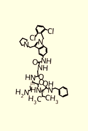 CC(C)[C@H](NC(=O)[C@H](CCN)NC(=O)CNC(=O)Nc1ccc2c(c1)c(CN1CCCC1)cn2Cc1c(Cl)cccc1Cl)C(=O)NCc1ccccc1